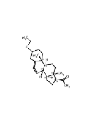 CCOC1CC[C@@]2(C)C(=C=C[C@H]3[C@@H]4CC[C@H](C(C)=O)[C@@]4(C)CC[C@@H]32)C1